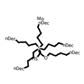 CCCCCCCCCCCCCCOC(S)=S(CCCCCCCCCCCCCC)(CCCCCCCCCCCCCC)(CCCCCCCCCCCCCC)CCCCCCCCCCCCCC.[Mo]